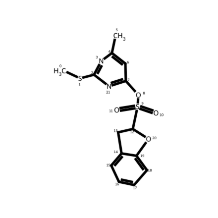 CSc1nc(C)cc(OS(=O)(=O)C2Cc3ccccc3O2)n1